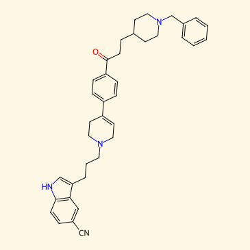 N#Cc1ccc2[nH]cc(CCCN3CC=C(c4ccc(C(=O)CCC5CCN(Cc6ccccc6)CC5)cc4)CC3)c2c1